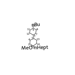 CCCCCCCC1(OC)CCC(C2CCC(CCCC)CC2)CC1